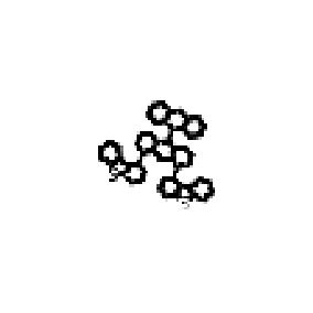 c1ccc2c(-c3c4cccc(-c5cccc6sc7ccccc7c56)c4cc4c(-c5cccc6sc7ccccc7c56)cccc34)c3ccccc3cc2c1